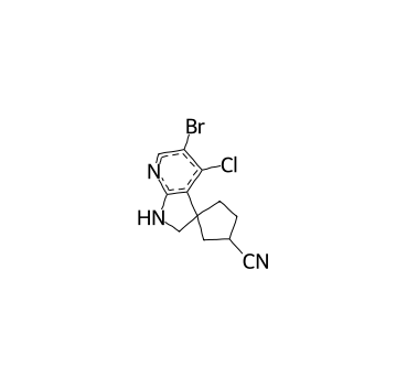 N#CC1CCC2(CNc3ncc(Br)c(Cl)c32)C1